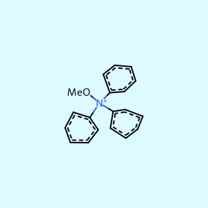 CO[N+](c1ccccc1)(c1ccccc1)c1ccccc1